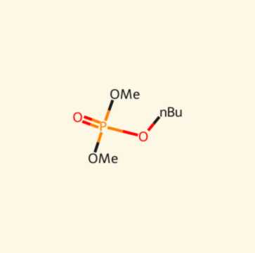 CCCCOP(=O)(OC)OC